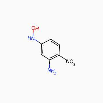 Nc1cc(NO)ccc1[N+](=O)[O-]